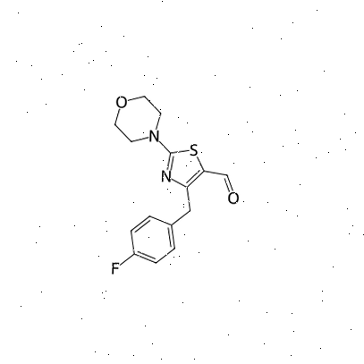 O=Cc1sc(N2CCOCC2)nc1Cc1ccc(F)cc1